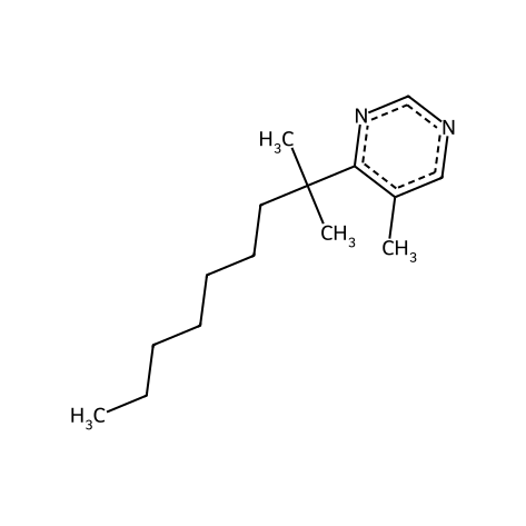 CCCCCCCC(C)(C)c1ncncc1C